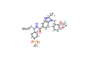 CCS(=O)(=O)c1ccc(C(COC)NC(=O)c2ccc3c(c2)nc(C(F)(F)F)n3Cc2cccc3c2OC(F)(F)O3)cc1